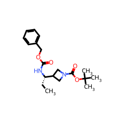 CC[C@H](NC(=O)OCc1ccccc1)C1CN(C(=O)OC(C)(C)C)C1